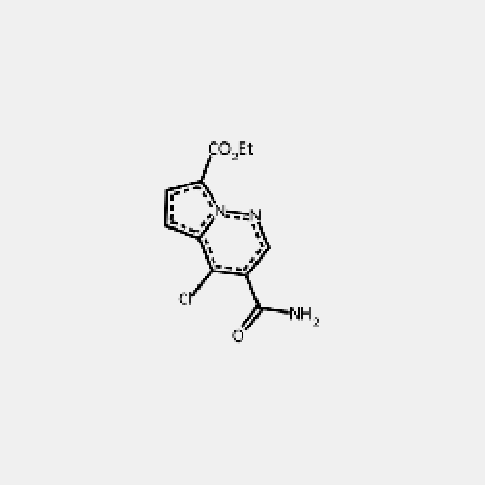 CCOC(=O)c1ccc2c(Cl)c(C(N)=O)cnn12